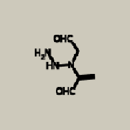 C=C(C=O)N(CC=O)NN